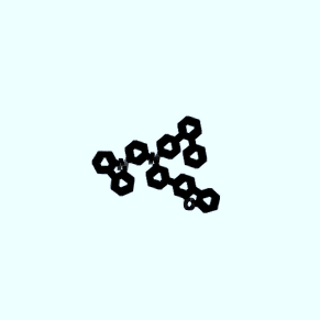 c1ccc(-c2ccccc2-c2ccc(N(c3cccc(-c4ccc5c(c4)oc4ccccc45)c3)c3cccc(-n4c5ccccc5c5ccccc54)c3)cc2)cc1